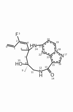 C=C/C(F)=C\C1(C)C[C@](C)(O)CNC(=O)c2cnn3ccc(nc23)N1